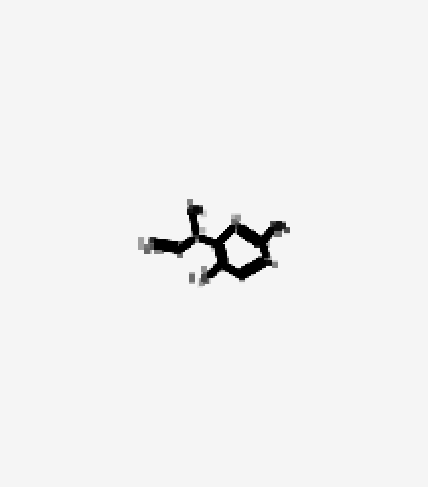 Bc1ncc(C)c(N(C)C=C)n1